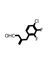 C=C(CC=O)Cc1ccc(Cl)c(F)c1F